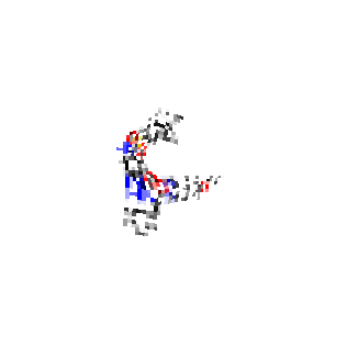 CCCOc1ccc(-c2noc([C@H](CC3CCCCC3)NC(=O)Nc3ccc(NS(=O)(=O)c4ccc(C(C)(C)C)cc4)cc3)n2)cc1